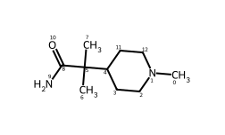 CN1CCC(C(C)(C)C(N)=O)CC1